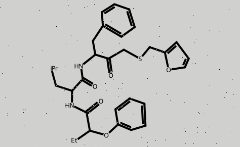 CCC(Oc1ccccc1)C(=O)NC(CC(C)C)C(=O)NC(Cc1ccccc1)C(=O)CSCc1ccco1